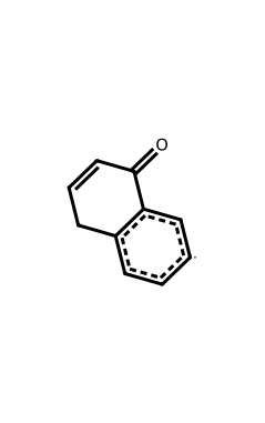 O=C1C=CCc2cc[c]cc21